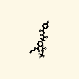 C=CCOC(=O)N1CCN(C(C)(C)C(=O)NCC(=O)c2ccc(Cl)cn2)C[C@H]1C(=O)NCC(F)(F)F